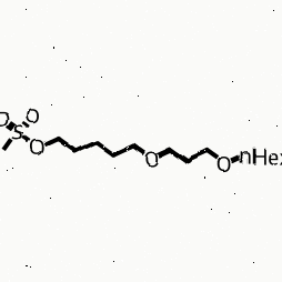 CCCCCCOCCCOCCCCCOS(C)(=O)=O